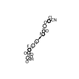 N#Cc1ccc(O[C@H]2CC[C@H](N3Cc4nc(C#CC5CCN(C6CCN(c7cc8c(cc7F)C(=O)N(C7CCC(=O)NC7=O)C8=O)CC6)CC5)ccc4C3=O)CC2)cc1Cl